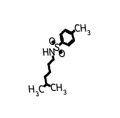 Cc1ccc(S(=O)(=O)NCCCCC(C)C)cc1